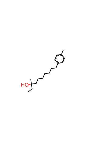 CCC(C)(O)CCCCCCCc1ccc(C)cc1